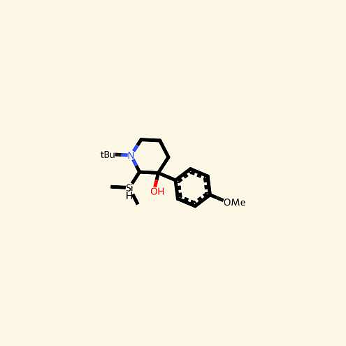 COc1ccc(C2(O)CCCN(C(C)(C)C)C2[SiH](C)C)cc1